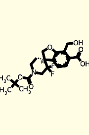 CC(C)(C)OC(=O)N1CC[C@@]2(COc3c2ccc(C(=O)O)c3CO)C(F)(F)C1